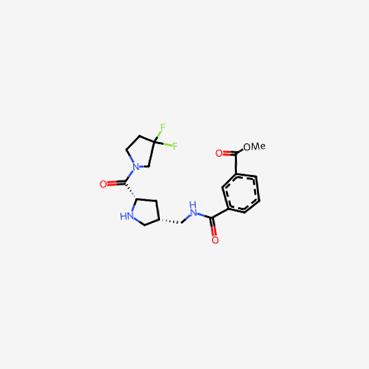 COC(=O)c1cccc(C(=O)NC[C@@H]2CN[C@H](C(=O)N3CCC(F)(F)C3)C2)c1